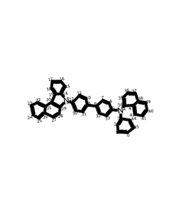 c1ccc(N(c2ccc(-c3ccc(-n4c5ccccc5c5c6ccccc6ccc54)cc3)cc2)c2cccc3ccccc23)cc1